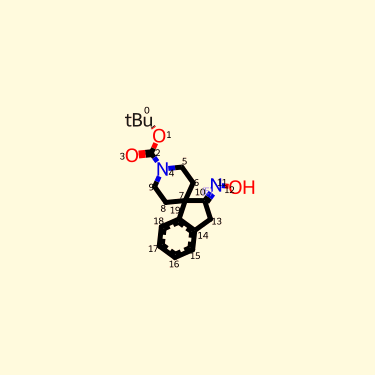 CC(C)(C)OC(=O)N1CCC2(CC1)/C(=N/O)Cc1ccccc12